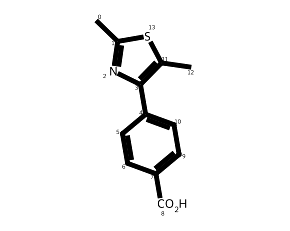 Cc1nc(-c2ccc(C(=O)O)cc2)c(C)s1